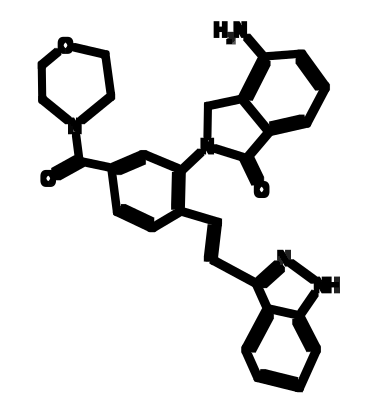 Nc1cccc2c1CN(c1cc(C(=O)N3CCOCC3)ccc1C=Cc1n[nH]c3ccccc13)C2=O